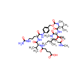 CC[C@H](C)[C@@H]([C@@H](CC(=O)NC)OC)N(C)C(=O)[C@@H](NC(=O)[C@H](C(C)C)N(C)C(=O)OCc1ccc(NC(=O)[C@H](CCCNC(N)=O)NC(=O)[C@@H](NC(=O)CCCC(=O)O)C(C)C)cc1)C(C)C